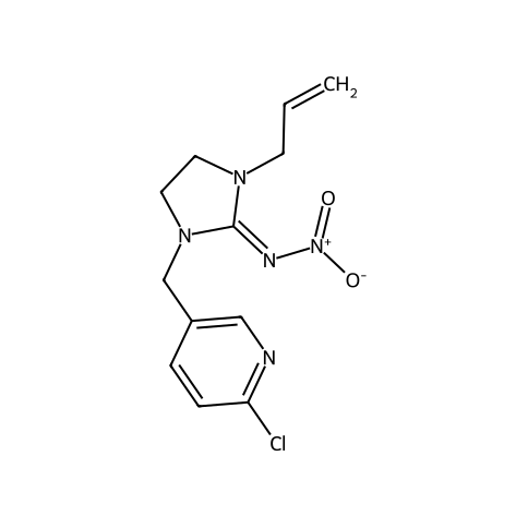 C=CCN1CCN(Cc2ccc(Cl)nc2)C1=N[N+](=O)[O-]